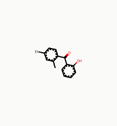 CCc1ccc(C(=O)c2ccccc2O)c(C)c1